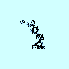 CC(C)(C)OC(=O)c1ccc(-c2noc(-c3cc(F)cc(Br)c3)n2)nc1